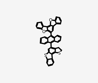 c1ccc2c(c1)oc1c2cc(-c2c3ccccc3c(-c3cc4sc5ccccc5c4c4c3CCS4)c3ccccc23)c2oc3ccccc3c21